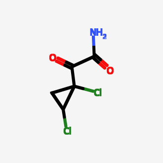 NC(=O)C(=O)C1(Cl)CC1Cl